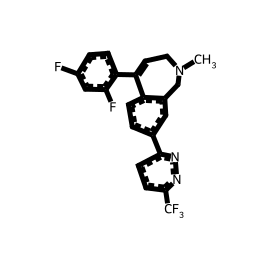 CN1CC=C(c2ccc(F)cc2F)c2ccc(-c3ccc(C(F)(F)F)nn3)cc2C1